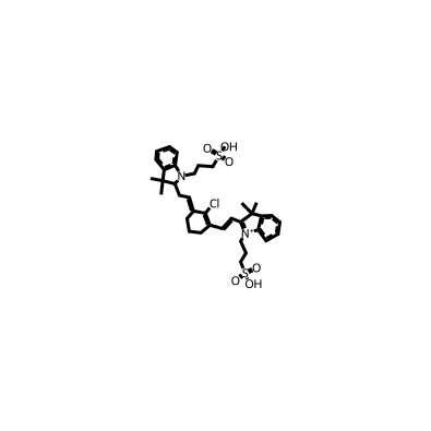 CC1(C)C(/C=C/C2=C(Cl)C(=C/CC3N(CCCS(=O)(=O)O)c4ccccc4C3(C)C)/CCC2)=[N+](CCCS(=O)(=O)O)c2ccccc21